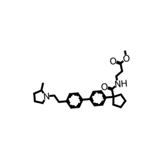 COC(=O)CCNC(=O)C1(c2ccc(-c3ccc(CCN4CCCC4C)cc3)cc2)CCCC1